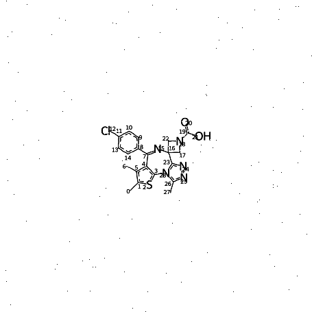 Cc1sc2c(c1C)C(c1ccc(Cl)cc1)=NC1(CN(C(=O)O)C1)c1nnc(C)n1-2